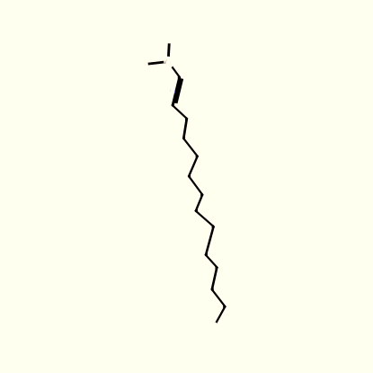 CCCCCCCCCCCCCCCCCCCCC/C=C/N(C)C